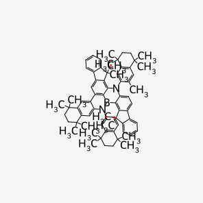 Cc1cc2c(cc1N1c3ccc4c(c3B3c5c(cc6c(c51)C(C)(C)c1ccccc1-6)-c1cc5c(cc1N3c1ccc3c(c1)C(C)(C)CCC3(C)C)C(C)(C)CCC5(C)C)C(C)(C)c1ccccc1-4)C(C)(C)CCC2(C)C